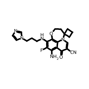 N#Cc1cn2c3c(c(NCCCn4ccnc4)c(F)c(N)c3c1=O)OCCC21CCC1